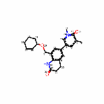 Cc1cc(-c2cc3c(c(COC4CCCCC4)c2)NC(=O)CC3)cn(C)c1=O